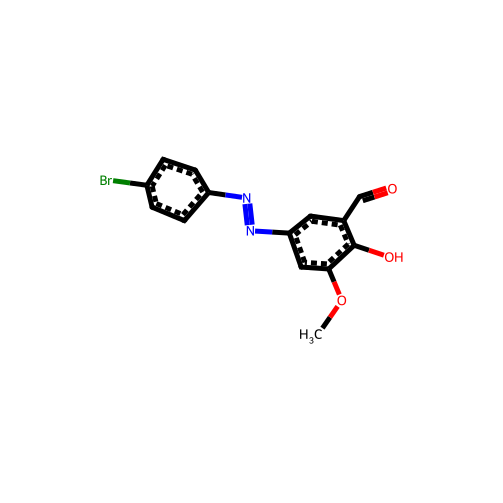 COc1cc(N=Nc2ccc(Br)cc2)cc(C=O)c1O